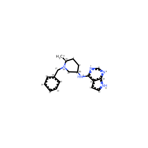 C[C@H]1CC[C@@H](Nc2ncnc3[nH]ccc23)CN1Cc1ccccc1